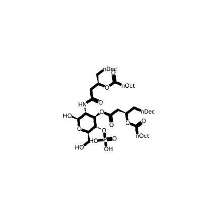 CCCCCCCCCCC[C@H](CC(=O)N[C@@H]1[C@@H](OC(=O)C[C@@H](CCCCCCCCCCC)OC(=O)CCCCCCCC)[C@H](OP(=O)(O)O)[C@@H](CO)O[C@H]1O)OC(=O)CCCCCCCC